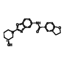 O=C(Nc1ccc2oc(N3CCC[C@H](O)C3)nc2c1)c1ccc2c(c1)CCO2